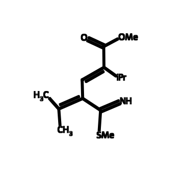 COC(=O)/C(=C/C(C(=N)SC)=C(C)C)C(C)C